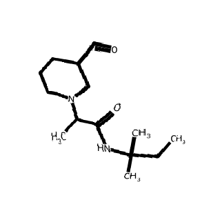 CCC(C)(C)NC(=O)C(C)N1CCCC(C=O)C1